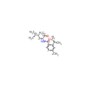 C=C(C)c1cc(C)ccc1C(=O)NC(CCC(C)C)C(C)=O